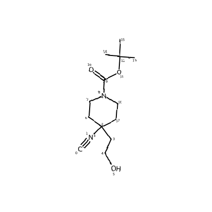 [C-]#[N+]C1(CCO)CCN(C(=O)OC(C)(C)C)CC1